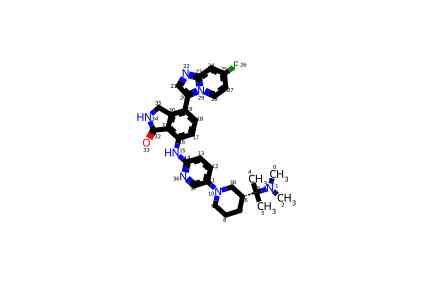 CN(C)C(C)(C)[C@@H]1CCCN(c2ccc(Nc3ccc(-c4cnc5cc(F)ccn45)c4c3C(=O)NC4)nc2)C1